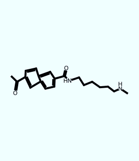 CNCCCCCCNC(=O)c1ccc2cc(C(C)=O)ccc2c1